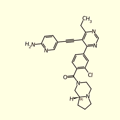 CCc1ncnc(-c2ccc(C(=O)N3CCN4CCC[C@@H]4C3)c(Cl)c2)c1C#Cc1ccc(N)nc1